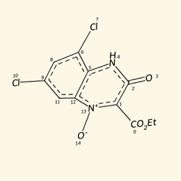 CCOC(=O)c1c(=O)[nH]c2c(Cl)cc(Cl)cc2[n+]1[O-]